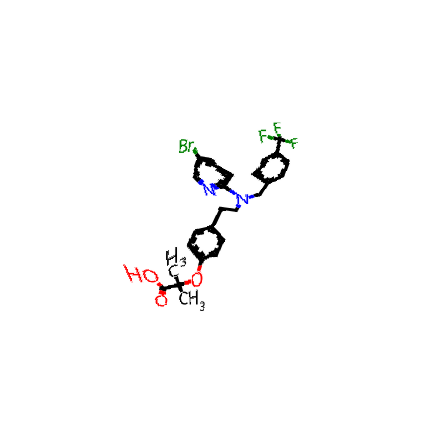 CC(C)(Oc1ccc(CCN(Cc2ccc(C(F)(F)F)cc2)c2ccc(Br)cn2)cc1)C(=O)O